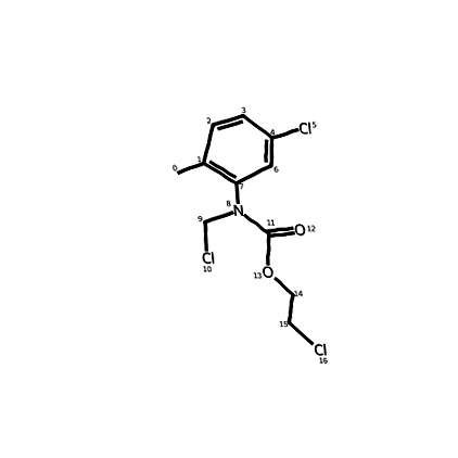 Cc1ccc(Cl)cc1N(CCl)C(=O)OCCCl